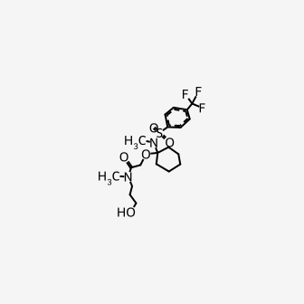 CN(CCCO)C(=O)COC1(N(C)S(=O)(=O)c2ccc(C(F)(F)F)cc2)CCCCC1